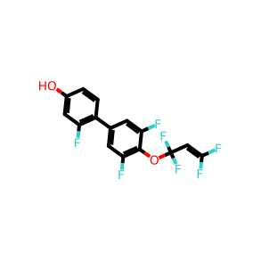 Oc1ccc(-c2cc(F)c(OC(F)(F)C=C(F)F)c(F)c2)c(F)c1